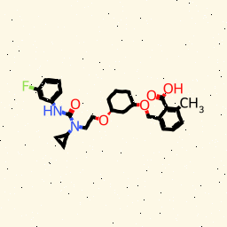 Cc1cccc(COC2CCC[C@H](OCCN(C(=O)Nc3cccc(F)c3)C3CC3)C2)c1C(=O)O